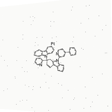 C1=CC(c2ccccn2)(n2c3ccccc3c3ccccc32)Cc2c1c1ccccc1n2-c1cc(-c2ccccc2)ccn1.[Pt]